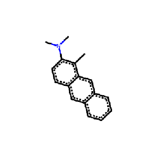 Cc1c(N(C)C)ccc2cc3ccccc3cc12